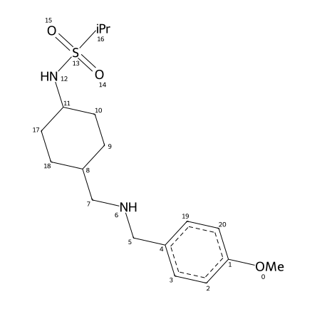 COc1ccc(CNCC2CCC(NS(=O)(=O)C(C)C)CC2)cc1